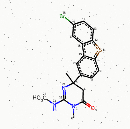 CN1C(=O)CC(C)(c2ccc3sc4ccc(Br)cc4c3c2)N=C1NC(=O)O